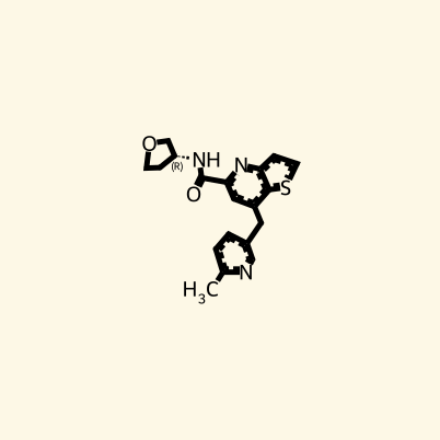 Cc1ccc(Cc2cc(C(=O)N[C@@H]3CCOC3)nc3ccsc23)cn1